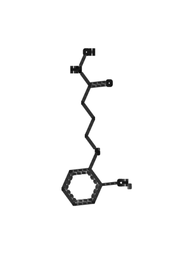 Cc1ccccc1SCCCC(=O)NO